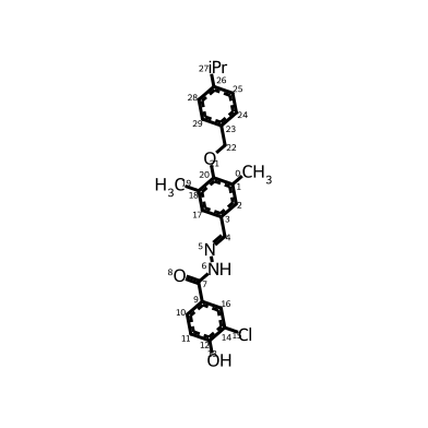 Cc1cc(/C=N/NC(=O)c2ccc(O)c(Cl)c2)cc(C)c1OCc1ccc(C(C)C)cc1